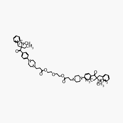 CCC(Cc1ccccc1)(C(=O)c1ccc(N2CCN(CCC(=O)OCCOCCOC(=O)CCN3CCN(c4ccc(C(=O)C(CC)(Cc5ccccc5)N(C)C)cc4)CC3)CC2)cc1)N(C)C